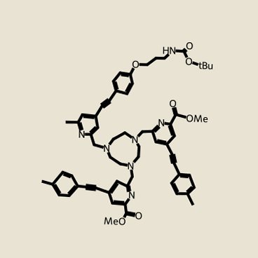 COC(=O)c1cc(C#Cc2ccc(C)cc2)cc(CN2CCN(Cc3cc(C#Cc4ccc(OCCCNC(=O)OC(C)(C)C)cc4)cc(C)n3)CCN(Cc3cc(C#Cc4ccc(C)cc4)cc(C(=O)OC)n3)CC2)n1